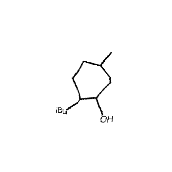 CCC(C)C1CCC(C)CC1O